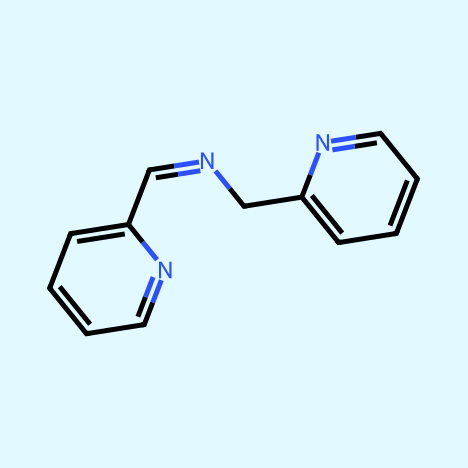 C(=N/Cc1ccccn1)/c1ccccn1